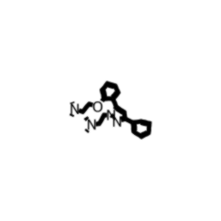 CN(C)CCOc1ccccc1-c1cc(-c2ccccc2)nn1CCN(C)C